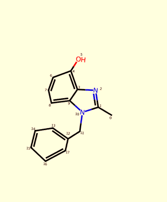 Cc1nc2c(O)cccc2n1Cc1ccccc1